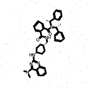 C[C@H](c1ccccc1)N(C(=O)c1ccccc1C(=O)NC[C@H]1CC[C@@H](Nc2nc(N(C)C)c3ccccc3n2)CC1)[C@H](C)c1ccccc1